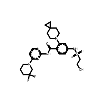 O=C(Nc1nccc(N2CCCC(F)(F)C2)n1)c1ccc(NS(=O)(=O)CCO)cc1N1CCC2(CC1)CC2